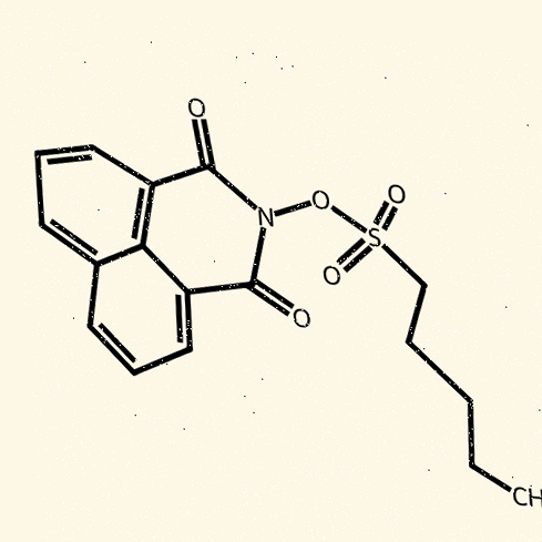 CCCCCS(=O)(=O)ON1C(=O)c2cccc3cccc(c23)C1=O